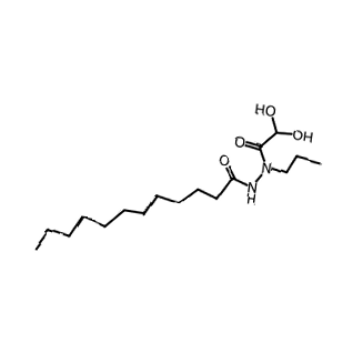 CCCCCCCCCCCC(=O)NN(CCC)C(=O)C(O)O